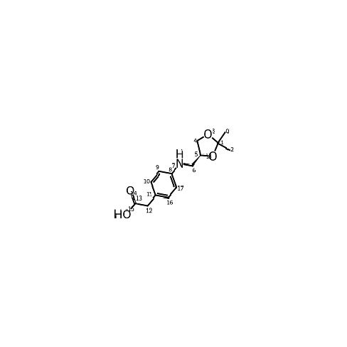 CC1(C)OC[C@H](CNc2ccc(CC(=O)O)cc2)O1